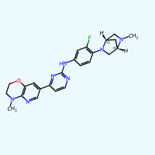 CN1CCOc2cc(-c3ccnc(Nc4ccc(N5C[C@@H]6C[C@H]5CN6C)c(F)c4)n3)cnc21